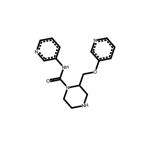 O=C(Nc1cccnc1)N1CCNCC1COc1cccnc1